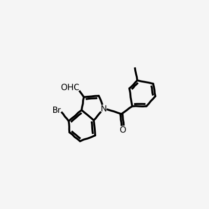 Cc1cccc(C(=O)n2cc(C=O)c3c(Br)cccc32)c1